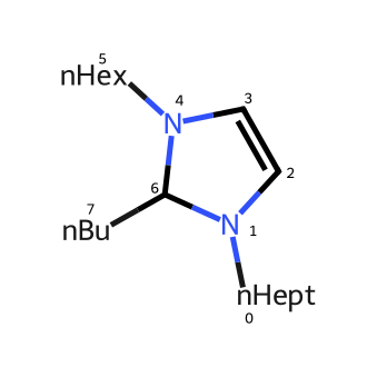 CCCCCCCN1C=CN(CCCCCC)C1CCCC